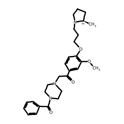 COc1cc(C(=O)CN2CCN(C(=O)c3ccccc3)CC2)ccc1OCCCN1CCC[C@H]1C